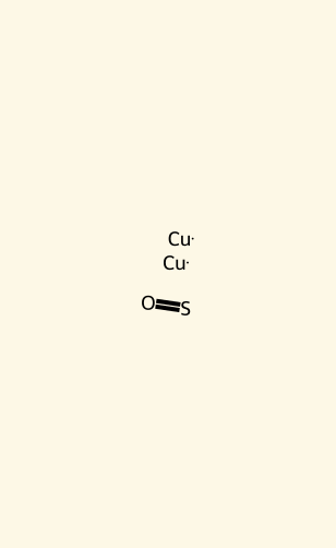 O=S.[Cu].[Cu]